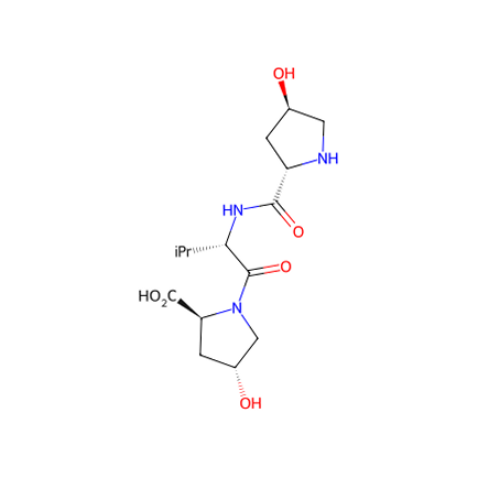 CC(C)[C@H](NC(=O)[C@@H]1C[C@@H](O)CN1)C(=O)N1C[C@H](O)C[C@H]1C(=O)O